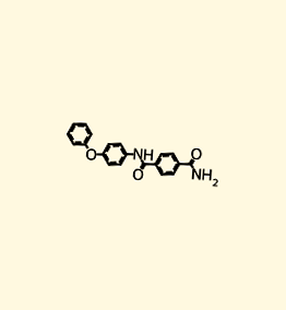 NC(=O)c1ccc(C(=O)Nc2ccc(Oc3ccccc3)cc2)cc1